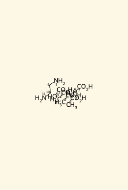 CC(=O)O.CC(=O)O.CC(=O)O.CC(=O)O.NCCN.O=C(O)O